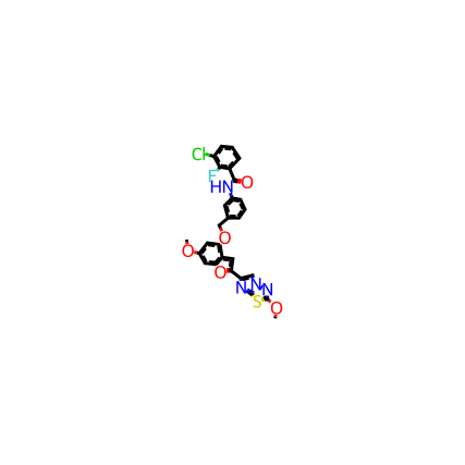 COc1cc(OCc2cccc(NC(=O)c3cccc(Cl)c3F)c2)c2cc(-c3cn4nc(OC)sc4n3)oc2c1